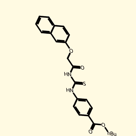 CCCCOC(=O)c1ccc(NC(=S)NC(=O)COc2ccc3ccccc3c2)cc1